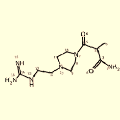 C[C](C(N)=O)C(=O)N1CCN(CCNC(=N)N)CC1